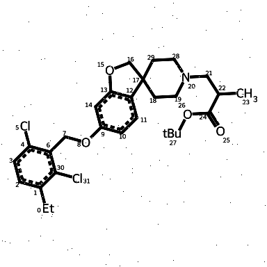 CCc1ccc(Cl)c(COc2ccc3c(c2)OCC32CCN(CC(C)C(=O)OC(C)(C)C)CC2)c1Cl